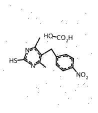 Cc1nc(S)nc(C)c1Cc1ccc([N+](=O)[O-])cc1.O=C(O)O